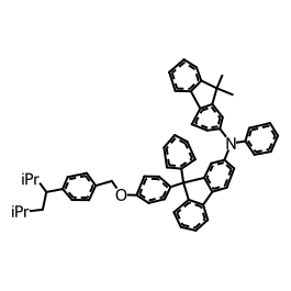 CC(C)CC(c1ccc(COc2ccc(C3(c4ccccc4)c4ccccc4-c4ccc(N(c5ccccc5)c5ccc6c(c5)C(C)(C)c5ccccc5-6)cc43)cc2)cc1)C(C)C